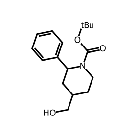 CC(C)(C)OC(=O)N1CCC(CO)CC1c1ccccc1